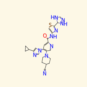 N#CC1CCN(c2cnc(C(=O)Nc3csc(C4NC=NN4)n3)cc2-n2cnc(C3CC3)c2)CC1